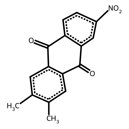 Cc1cc2c(cc1C)C(=O)c1cc([N+](=O)[O-])ccc1C2=O